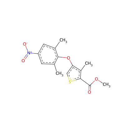 COC(=O)c1scc(Oc2c(C)cc([N+](=O)[O-])cc2C)c1C